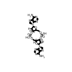 Nc1ncnc2c1ncn2[C@@H]1O[C@@H]2COP(=O)(O)O[C@@H]3C(CO[P@@](=O)(S)O[C@H]2[C@H]1F)O[C@@H](n1cnc2c(N)ncnc21)[C@@H]3F